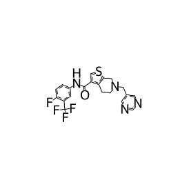 O=C(Nc1ccc(F)c(C(F)(F)F)c1)c1csc2c1CCN(Cc1cncnc1)C2